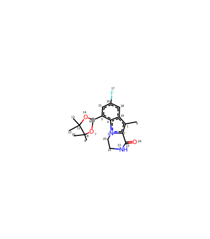 Cc1c2n(c3c(B4OC(C)(C)C(C)(C)O4)cc(F)cc13)CCNC2=O